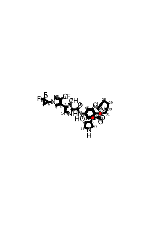 Cn1c(-c2cn(C3CC3(F)F)nc2C(F)(F)F)cnc1C(=O)Nc1ccc(C(=O)N2C3CCC2CN(C(=O)NC2CNCC2O)C3)c(Cl)c1